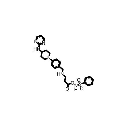 O=C(CCNCc1ccc(N2CCC(Nc3ncccn3)CC2)cc1)ONS(=O)(=O)c1ccccc1